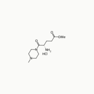 COC(=O)CC[C@H](N)C(=O)N1CCN(C)CC1.Cl